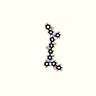 c1ccc(N(c2ccc3c(c2)oc2ccccc23)c2ccc3c(c2)sc2cc4c(cc23)oc2cc3c(cc24)sc2cc(N(c4ccccc4)c4ccc5c(c4)oc4ccccc45)ccc23)cc1